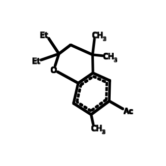 CCC1(CC)CC(C)(C)c2cc(C(C)=O)c(C)cc2O1